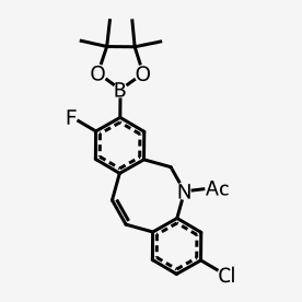 CC(=O)N1Cc2cc(B3OC(C)(C)C(C)(C)O3)c(F)cc2/C=C\c2ccc(Cl)cc21